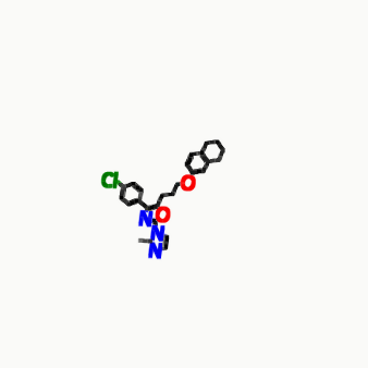 Cc1nccn1-c1nc(-c2ccc(Cl)cc2)c(CCCOc2ccc3c(c2)CCCC3)o1